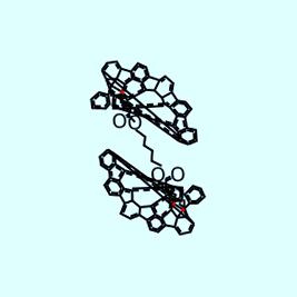 O=C(CCCC1(c2ccccc2)C23C4=CC=C5c6ccc7c8ccc9c%10c%11c%12c%13c%14c%15c(ccc4c%15c2c%13c2c(c6c7c(c%108)c%122)C513)C1=CC=C9C%11C1%14)OCCCCCCOC(=O)CCCC1(c2ccccc2)C23C4=CC=C5c6ccc7c8ccc9c%10c%11c%12c%13c%14c%15c(ccc4c%15c2c%13c2c(c6c7c(c%108)c%122)C513)C1=CC=C9C%11C1%14